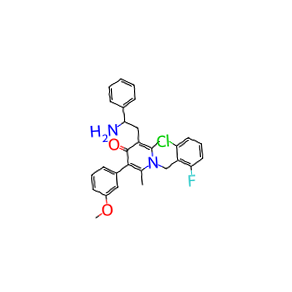 COc1cccc(-c2c(C)n(Cc3c(F)cccc3Cl)c(C)c(CC(N)c3ccccc3)c2=O)c1